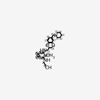 C#CCNC1=NS(=O)(=O)N=C(NCC2COc3cc(CN4CCCCC4)ccc3O2)N1C